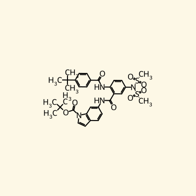 CC(C)(C)OC(=O)n1ccc2ccc(NC(=O)c3cc(N(S(C)(=O)=O)S(C)(=O)=O)ccc3NC(=O)c3ccc(C(C)(C)C)cc3)cc21